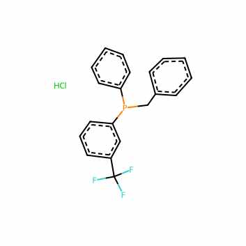 Cl.FC(F)(F)c1cccc(P(Cc2ccccc2)c2ccccc2)c1